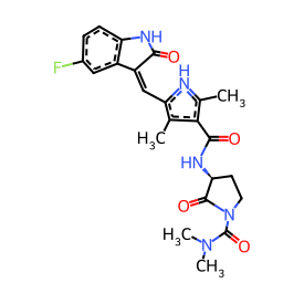 Cc1[nH]c(/C=C2\C(=O)Nc3ccc(F)cc32)c(C)c1C(=O)N[C@H]1CCN(C(=O)N(C)C)C1=O